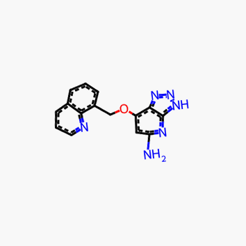 Nc1cc(OCc2cccc3cccnc23)c2nn[nH]c2n1